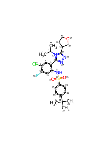 CC(C)n1c(-c2cc(Cl)c(F)cc2NS(=O)(=O)c2ccc(C(C)(C)C)cc2)nnc1C1CCOC1